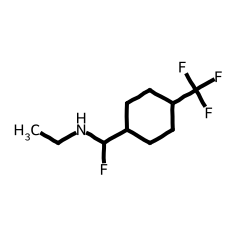 CCNC(F)C1CCC(C(F)(F)F)CC1